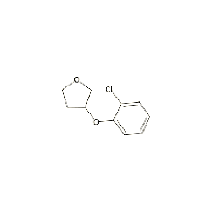 Clc1ccccc1OC1CCOC1